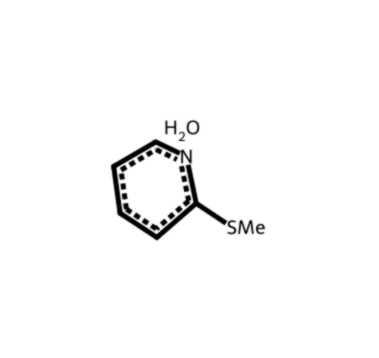 CSc1ccccn1.O